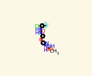 COC(=O)Nc1nc2cc(Oc3cccc(NC(=O)Nc4cc(C(F)(F)F)ccc4Cl)c3)ccc2[nH]1